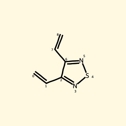 C=Cc1nsnc1C=C